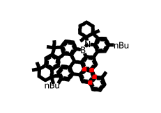 CCCCc1ccc(C2c3cc(-c4ccccc4C)cc4c3B(c3ccc5c(c32)-c2cc3c(cc2C5(C)C)C(C)(C)CCC3(C)C)N2c3c-4cc(CCCC)cc3C3(C)CCCCC23C)c(-c2ccccc2)c1